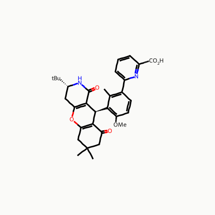 COc1ccc(-c2cccc(C(=O)O)n2)c(C)c1[C@H]1C2=C(CC(C)(C)CC2=O)OC2=C1C(=O)N[C@@H](C(C)(C)C)C2